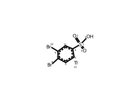 O=S(=O)(O)c1ccc(Br)c(Br)c1.[Tl]